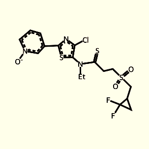 CCN(C(=S)CCS(=O)(=O)CC1CC1(F)F)c1sc(-c2ccc[n+]([O-])c2)nc1Cl